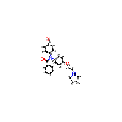 O=C(c1ccccc1)N(c1ccc(O)cc1)c1ccc(OCCN2CCCC2)cc1